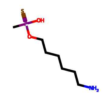 CP(O)(=S)OCCCCCCN